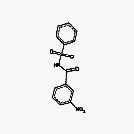 O=C(NS(=O)(=O)c1ccccc1)c1cccc([N+](=O)[O-])c1